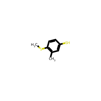 CSc1ccc(S)cc1C